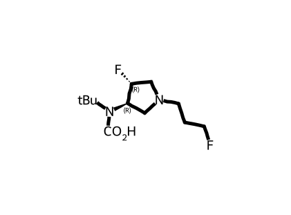 CC(C)(C)N(C(=O)O)[C@@H]1CN(CCCF)C[C@H]1F